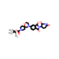 CC(C)(C)OC(=O)N1CCC2(CC1)CN(c1ccc3c(c1)C(=O)N(C1CCC(=O)NC1=O)C3=O)CCO2